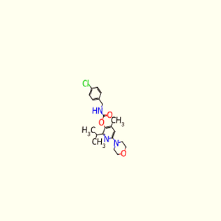 Cc1cc(N2CCOCC2)nc(C(C)C)c1OC(=O)NCc1ccc(Cl)cc1